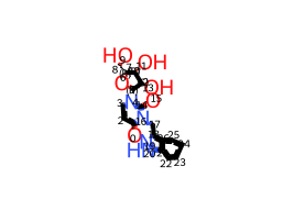 O=c1ccn([C@@H]2O[C@H](CO)[C@H](O)[C@@H]2O)c(=O)n1Cc1n[nH]c2ccccc12